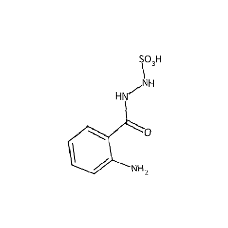 Nc1ccccc1C(=O)NNS(=O)(=O)O